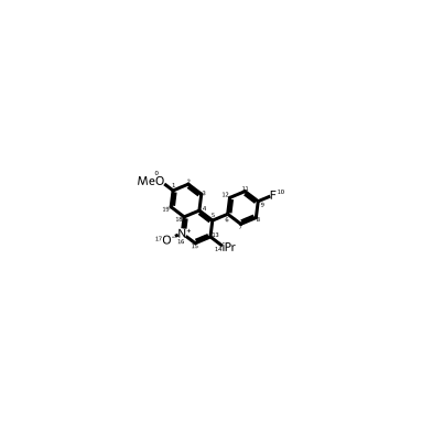 COc1ccc2c(-c3ccc(F)cc3)c(C(C)C)c[n+]([O-])c2c1